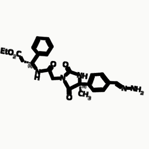 CCOC(=O)C[C@@H](NC(=O)CN1C(=O)N[C@@](C)(c2ccc(C=NN)cc2)C1=O)c1ccccc1